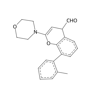 Cc1ccccc1-c1cccc2c1OC(N1CCOCC1)=CC2C=O